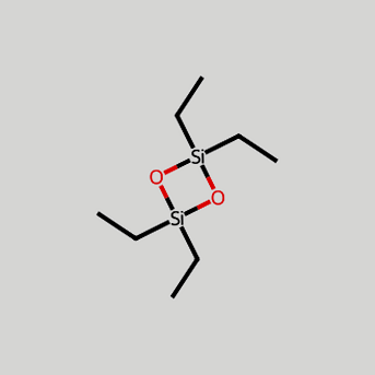 CC[Si]1(CC)O[Si](CC)(CC)O1